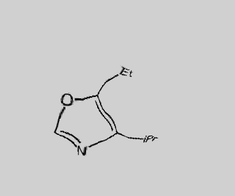 CCc1ocnc1C(C)C